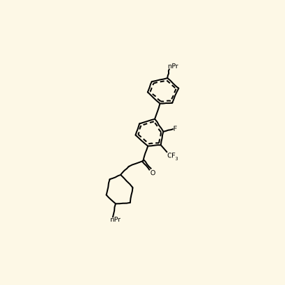 CCCc1ccc(-c2ccc(C(=O)CC3CCC(CCC)CC3)c(C(F)(F)F)c2F)cc1